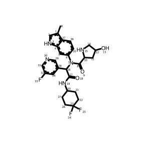 Cc1c[nH]c2cc(N(C(=O)C3CC(O)CN3)C(C(=O)NC3CCC(F)(F)CC3)c3cncc(F)c3)ccc12